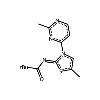 Cc1nccc(-n2cc(C)sc2=NC(=O)C(C)(C)C)n1